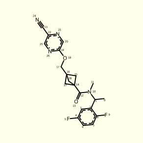 CC(c1cc(F)ccc1F)N(C)C(=O)C12CC(COc3cnc(C#N)cn3)(C1)C2